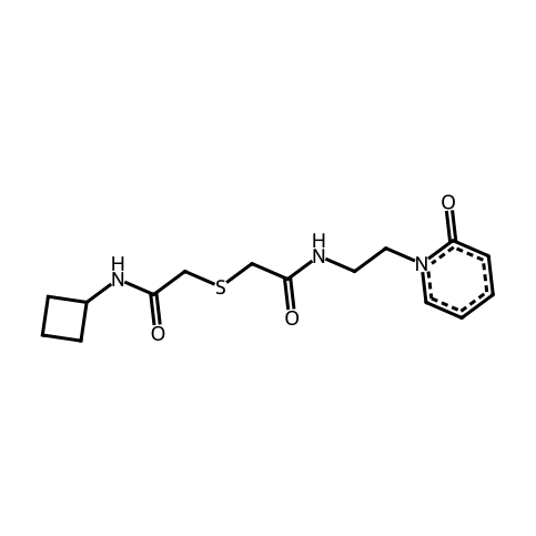 O=C(CSCC(=O)NC1CCC1)NCCn1ccccc1=O